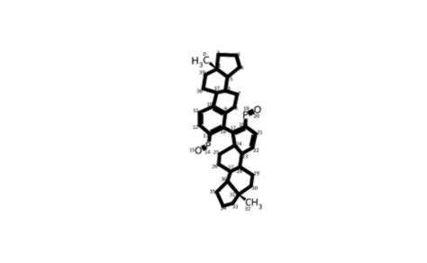 C[C@@]12CCCC1C1CCc3c(ccc(P=O)c3C3=C(P=O)C=CC4C3CCC3C4CC[C@]4(C)CCCC34)C1CC2